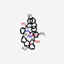 Cc1cccc(C(O)(c2cccc(C)c2)[C@@H](NC(=O)C2(C(=O)N[C@@H](c3cccc4ccccc34)C(O)(c3cccc(C)c3)c3cccc(C)c3)CCCCC2)c2cccc3ccccc23)c1